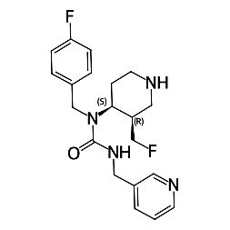 O=C(NCc1cccnc1)N(Cc1ccc(F)cc1)[C@H]1CCNC[C@H]1CF